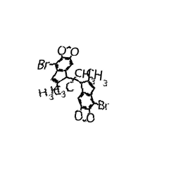 CC1=Cc2c(cc3c(c2Br)OCO3)C1C(C)(C)C1C(C)=Cc2c1cc1c(c2Br)OCO1